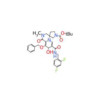 CN1CC2(CCN(C(=O)OC(C)(C)C)C2)N2C=C(C(=O)NCc3ccc(F)cc3F)C(O)C(OCc3ccccc3)=C2C1=O